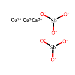 [Ca+2].[Ca+2].[Ca+2].[O-][Sb]([O-])[O-].[O-][Sb]([O-])[O-]